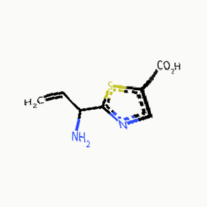 C=CC(N)c1ncc(C(=O)O)s1